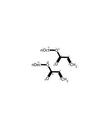 C=CC(=O)OCCCCCCCC.C=CC(=O)OCCCCCCCCCC